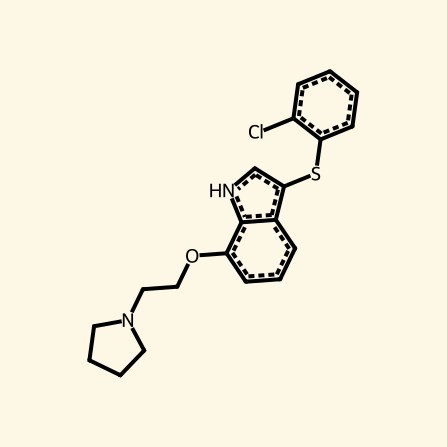 Clc1ccccc1Sc1c[nH]c2c(OCCN3CCCC3)cccc12